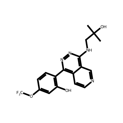 CC(C)(O)CNc1nnc(-c2ccc(OC(F)(F)F)cc2O)c2ccncc12